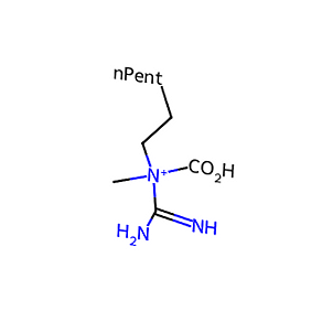 CCCCCCC[N+](C)(C(=N)N)C(=O)O